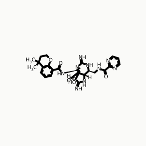 CC1(C)CCOc2c(C(=O)N[C@H]3CN4C(=N)N[C@@H](CNC(=O)c5ncccn5)[C@@H]5NC(=N)N[C@@]54C3(O)O)cccc21